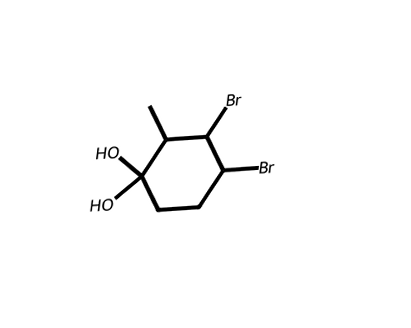 CC1C(Br)C(Br)CCC1(O)O